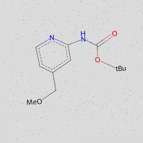 COCc1ccnc(NC(=O)OC(C)(C)C)c1